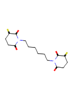 O=C1CCC(=S)C(=O)N1CCCCCCN1C(=O)CCC(=S)C1=O